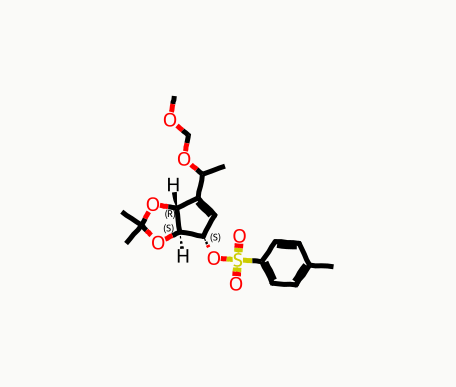 COCOC(C)C1=C[C@H](OS(=O)(=O)c2ccc(C)cc2)[C@H]2OC(C)(C)O[C@H]12